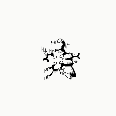 CC(C)[C@H](N)C(=O)N[C@H](C(=O)N[C@H](C(=O)N[C@@H](CO)C(=O)N[C@@H](CO)C(=O)O)C(C)C)[C@@H](C)O